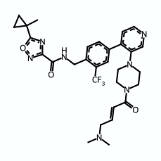 CN(C)CC=CC(=O)N1CCN(c2cnccc2-c2ccc(CNC(=O)c3noc(C4(C)CC4)n3)c(C(F)(F)F)c2)CC1